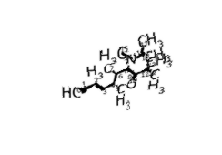 C#C/C=C/[C@@H](C)[C@@H](C)[C@@H](C(=O)C(C)C)N(C)C(C)C